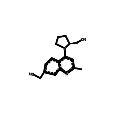 Cc1cc(N2CCC[C@H]2CO)c2ccc(CO)cc2n1